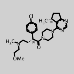 COCCN(C)CC[C@@H](C(=O)N1CCN(c2ncnc3c2[C@H](C)CC3)CC1)c1ccc(Cl)cc1